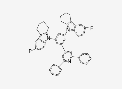 Fc1ccc2c(c1)c1c(n2-c2cc(-c3cc(-c4ccccc4)nc(-c4ccccc4)c3)cc(-n3c4c(c5cc(F)ccc53)CCCC4)c2)CCCC1